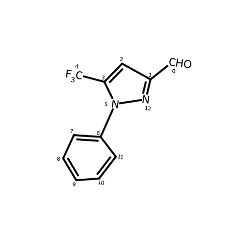 O=Cc1cc(C(F)(F)F)n(-c2ccccc2)n1